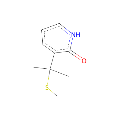 CSC(C)(C)c1ccc[nH]c1=O